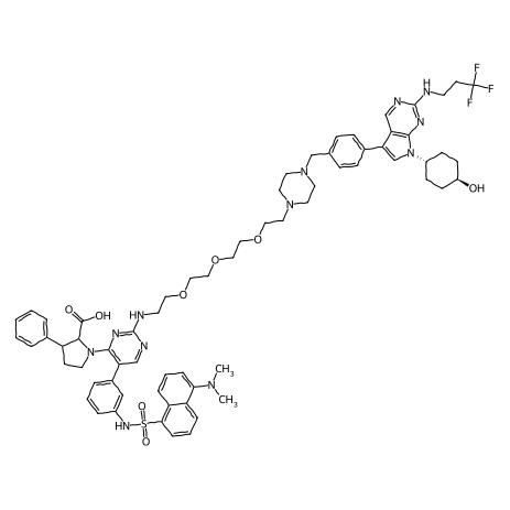 CN(C)c1cccc2c(S(=O)(=O)Nc3cccc(-c4cnc(NCCOCCOCCOCCN5CCN(Cc6ccc(-c7cn([C@H]8CC[C@H](O)CC8)c8nc(NCCC(F)(F)F)ncc78)cc6)CC5)nc4N4CCC(c5ccccc5)C4C(=O)O)c3)cccc12